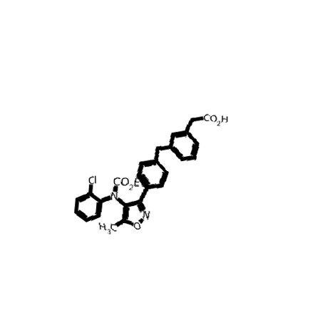 CCOC(=O)N(c1ccccc1Cl)c1c(-c2ccc(Cc3cccc(CC(=O)O)c3)cc2)noc1C